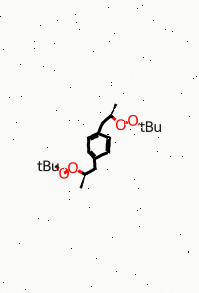 C[C@H](Cc1ccc(C[C@@H](C)OOC(C)(C)C)cc1)OOC(C)(C)C